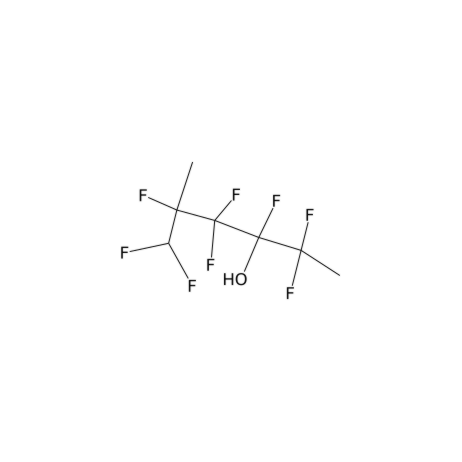 CC(F)(F)C(O)(F)C(F)(F)C(C)(F)C(F)F